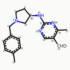 Cc1ccc(CN2CC[C@@H](Nc3ncc(C=O)c(C)n3)C2)cc1